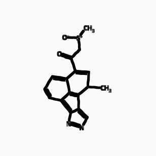 CC1C=C(C(=O)C[S+](C)[O-])c2cccc3c2=C1C1=CN=NC=31